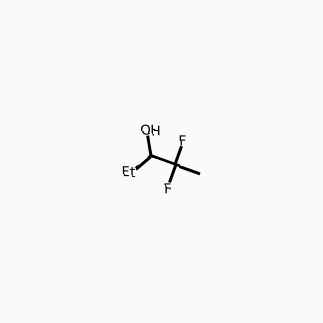 CCC(O)C(C)(F)F